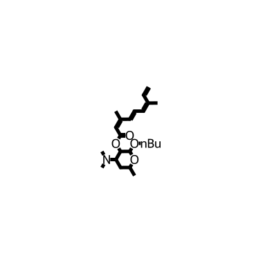 C=CC(C)=CC=CC(C)=CC(=O)OC1C(OCCCC)OC(C)CC1N(C)C